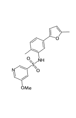 COc1cncc(S(=O)(=O)Nc2cc(-c3ccc(C)o3)ccc2C)c1